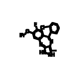 CC1=C2N=C(c3ccccc3Cl)c3cc(F)c(OC(C)C)cc3N=C2NN1